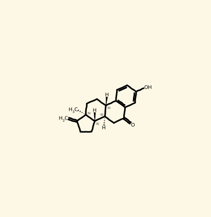 C=C1CC[C@H]2[C@@H]3CC(=O)c4cc(O)ccc4[C@H]3CC[C@]12C